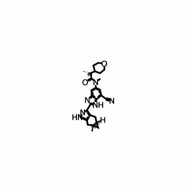 C[C@@H](C(=O)N(C)c1cc(C#N)c2[nH]c(-c3n[nH]c4c3C[C@@H]3C[C@]3(C)C4)nc2c1)C1CCOCC1